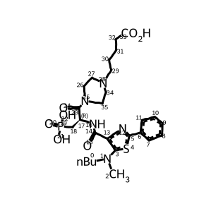 CCCCN(C)c1sc(-c2ccccc2)nc1C(=O)N[C@@H](CP(=O)(O)O)C(=O)N1CCN(CCCCC(=O)O)CC1